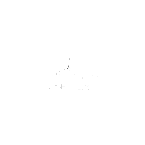 CC(=O)O.[O]=[Fe].[PbH2]